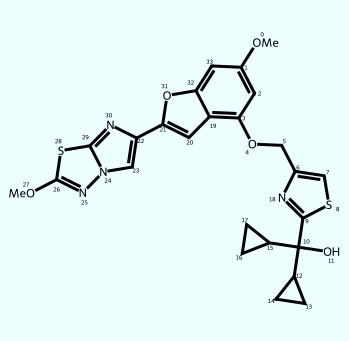 COc1cc(OCc2csc(C(O)(C3CC3)C3CC3)n2)c2cc(-c3cn4nc(OC)sc4n3)oc2c1